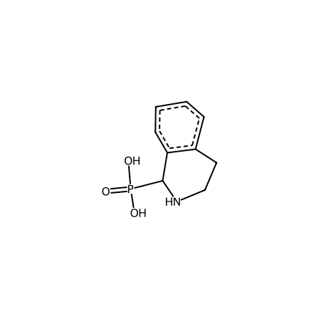 O=P(O)(O)C1NCCc2ccccc21